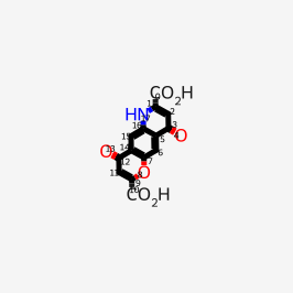 O=C(O)c1cc(=O)c2cc3oc(C(=O)O)cc(=O)c3cc2[nH]1